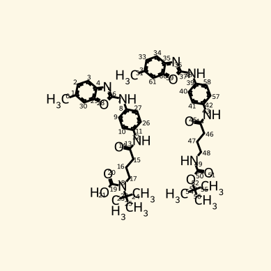 Cc1ccc2nc(Nc3ccc(NC(=O)CCCN(C(=O)O)C(C)(C)C)cc3)oc2c1.Cc1ccc2nc(Nc3ccc(NC(=O)CCCNC(=O)OC(C)(C)C)cc3)oc2c1